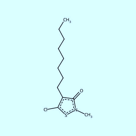 CCCCCCCCc1c(Cl)sn(C)c1=O